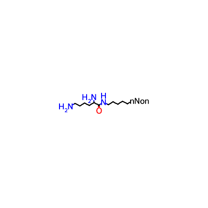 CCCCCCCCCCCCCCNC(=O)C(N)CCCCN